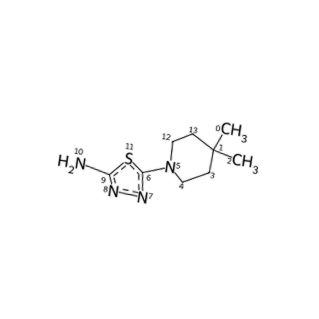 CC1(C)CCN(c2nnc(N)s2)CC1